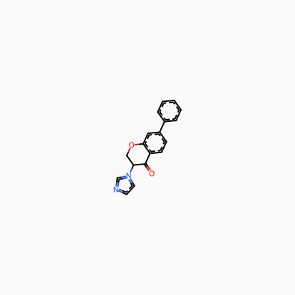 O=C1c2ccc(-c3ccccc3)cc2OCC1n1ccnc1